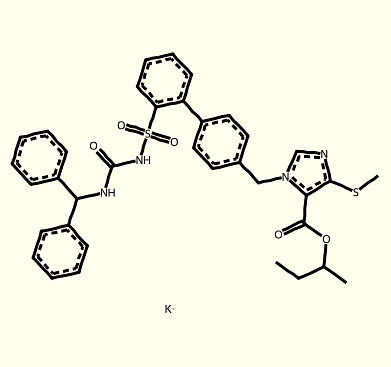 CCC(C)OC(=O)c1c(SC)ncn1Cc1ccc(-c2ccccc2S(=O)(=O)NC(=O)NC(c2ccccc2)c2ccccc2)cc1.[K]